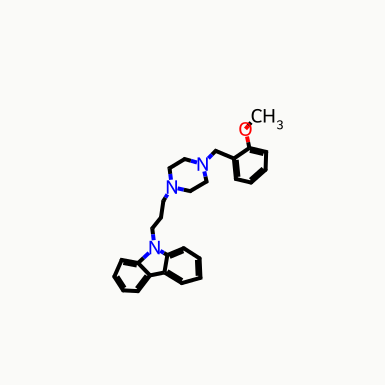 COc1ccccc1CN1CCN(CCCn2c3ccccc3c3ccccc32)CC1